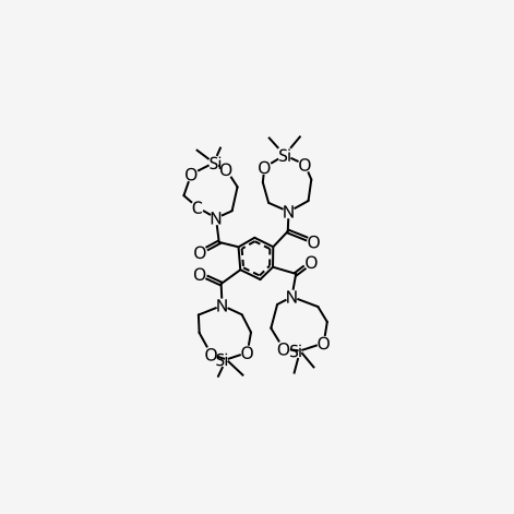 C[Si]1(C)OCCN(C(=O)c2cc(C(=O)N3CCO[Si](C)(C)OCC3)c(C(=O)N3CCO[Si](C)(C)OCC3)cc2C(=O)N2CCO[Si](C)(C)OCC2)CCO1